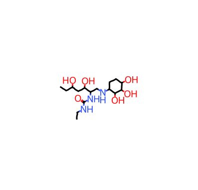 CCNC(=O)NC(CNC1CCC(O)C(O)C1O)C(O)CC(O)CC